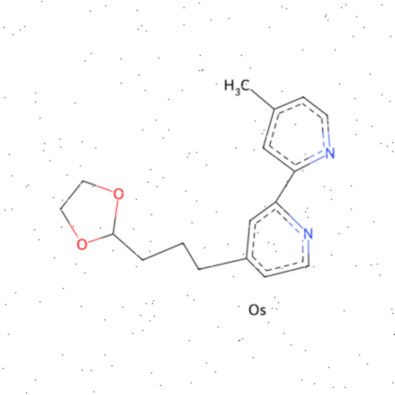 Cc1ccnc(-c2cc(CCCC3OCCO3)ccn2)c1.[Os]